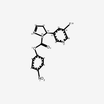 O=C(Oc1ccc([N+](=O)[O-])cc1)N1N=CC[C@H]1c1cncc(F)c1